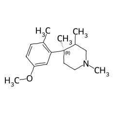 COc1ccc(C)c([C@]2(C)CCN(C)CC2C)c1